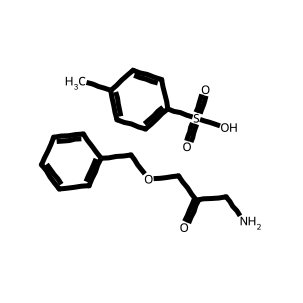 Cc1ccc(S(=O)(=O)O)cc1.NCC(=O)COCc1ccccc1